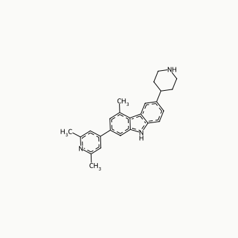 Cc1cc(-c2cc(C)c3c(c2)[nH]c2ccc(C4CCNCC4)cc23)cc(C)n1